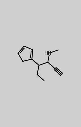 C#CC(NC)C(CC)C1=CC=CC1